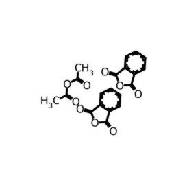 CC(=O)OC(C)=O.O=C1OC(=O)c2ccccc21.O=C1OC(=O)c2ccccc21